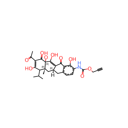 C#CCOC(=O)Nc1ccc2c(c1O)C(=O)C1=C(O)[C@@]3(O)C(=O)C(C(C)=O)=C(O)C(C(C)C)[C@@]3(C)C[C@H]1C2